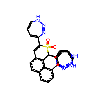 O=S1(=O)C(C2=CC=CNN=N2)=Cc2ccc3cccc(C4=CC=CNN=N4)c3c2C1C1=CC=CNN=N1